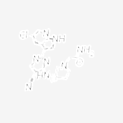 N#Cc1cnc(-c2c[nH]c3ncc(Cl)cc23)nc1N[C@H]1CCCN(CC(N)=O)C1